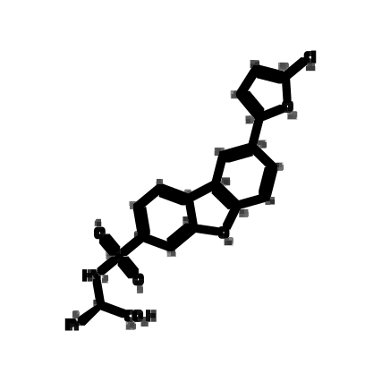 CC(C)[C@@H](NS(=O)(=O)c1ccc2c(c1)oc1ccc(-c3ccc(Cl)o3)cc12)C(=O)O